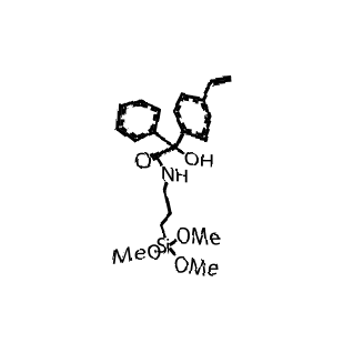 C=Cc1ccc(C(O)(C(=O)NCCC[Si](OC)(OC)OC)c2ccccc2)cc1